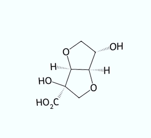 O=C(O)[C@@]1(O)CO[C@@H]2[C@@H](O)CO[C@@H]21